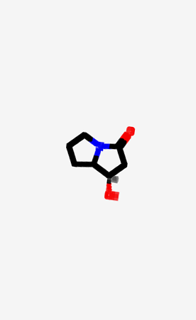 O=C1C[C@H](O)C2CCCN12